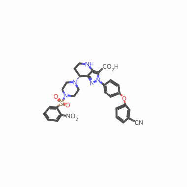 N#Cc1cccc(Oc2ccc(-n3nc4c(c3C(=O)O)NCC[C@H]4N3CCN(S(=O)(=O)c4ccccc4[N+](=O)[O-])CC3)cc2)c1